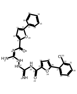 N=C(NNC(N)=NC(=O)c1ccc(-c2ccccc2)o1)NC(=O)c1ccc(-c2ccccc2Cl)o1